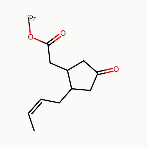 C/C=C\CC1CC(=O)CC1CC(=O)OC(C)C